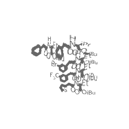 CCC(C)COC(=O)[C@@H](NC(=O)Cc1ccccc1)C(C)C.CCC(NC(=O)Cc1cccc(Br)c1)C(=O)OCC(C)C.CCC(NC(=O)Cc1cccc(C(F)(F)F)c1)C(=O)OCC(C)C.CCC(NC(=O)Cc1ccccc1)C(=O)OCC(C)C.CCC(NC(=O)Cc1cccs1)C(=O)OCC(C)C